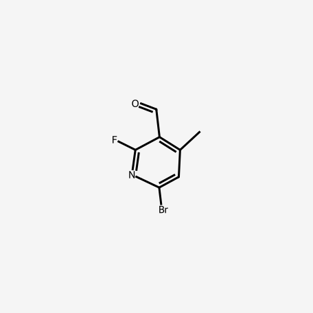 Cc1cc(Br)nc(F)c1C=O